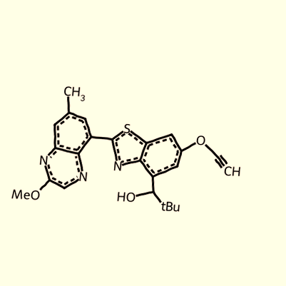 C#COc1cc(C(O)C(C)(C)C)c2nc(-c3cc(C)cc4nc(OC)cnc34)sc2c1